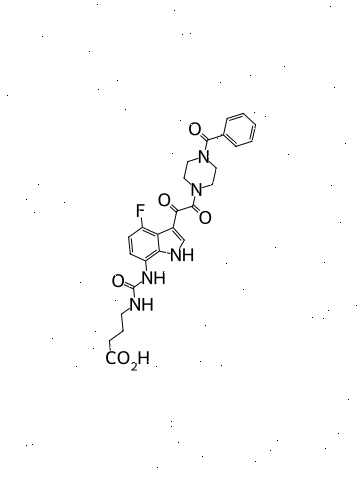 O=C(O)CCCNC(=O)Nc1ccc(F)c2c(C(=O)C(=O)N3CCN(C(=O)c4ccccc4)CC3)c[nH]c12